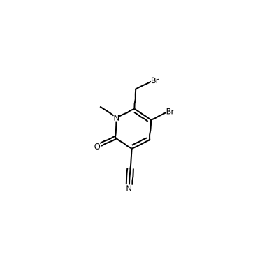 Cn1c(CBr)c(Br)cc(C#N)c1=O